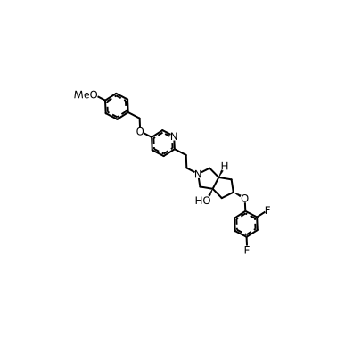 COc1ccc(COc2ccc(CCN3C[C@@H]4C[C@@H](Oc5ccc(F)cc5F)C[C@]4(O)C3)nc2)cc1